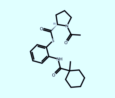 CC(=O)N1CCC[C@H]1C(=O)Sc1ccccc1NC(=O)C1(C)CCCCC1